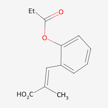 CCC(=O)Oc1ccccc1C=C(C)C(=O)O